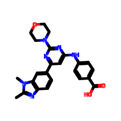 Cc1nc2ccc(-c3cc(Nc4ccc(C(=O)O)cc4)nc(N4CCOCC4)n3)cc2n1C